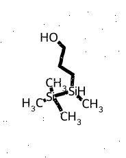 C[SiH](CCCO)[Si](C)(C)C